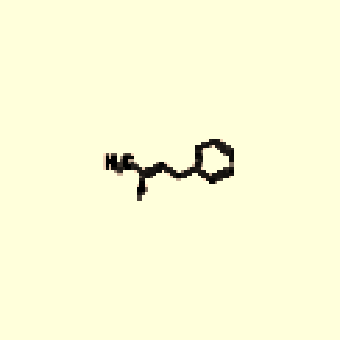 C/C(F)=C/Cc1ccccc1